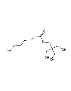 CCCCCCCCCCCCCCCC(=O)OCC(CO)(CO)CO